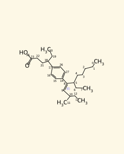 CCCCCC(CC)/C(=C\C(C)CC)c1ccc(C(CC)CCC(=O)O)cc1